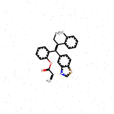 C=CC(=O)Oc1ccccc1/C(=C(\CC)c1ccccc1C)c1ccc2scnc2c1